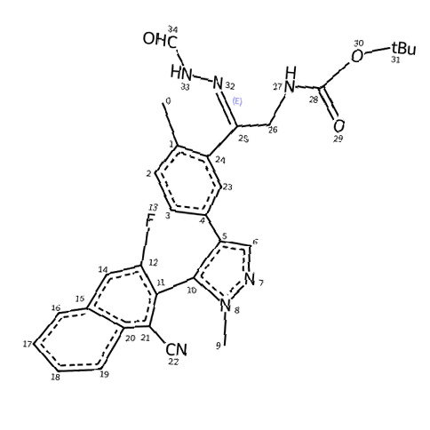 Cc1ccc(-c2cnn(C)c2-c2c(F)cc3ccccc3c2C#N)cc1/C(CNC(=O)OC(C)(C)C)=N\NC=O